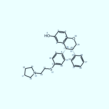 Oc1ccc2c(c1)[C@@H](c1ccc(SCCN3CCCC3)cc1)[C@@H](c1ccccc1)CO2